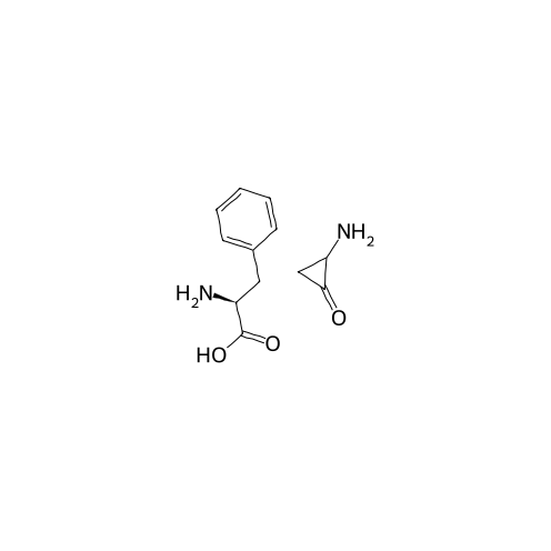 NC1CC1=O.N[C@@H](Cc1ccccc1)C(=O)O